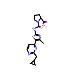 Cc1nc(NC(=O)N2CCC[C@@]2(C)C(N)=O)sc1-c1ccnc(CC2CC2)n1